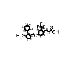 CC1CCC(COc2ccc(CCC(=O)O)c(C(F)(F)F)c2)=C1c1ccccc1